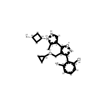 Cc1c(-c2onc(-c3c(F)cccc3Cl)c2COC2CC2)cnn1[C@H]1C[C@@H](C)C1